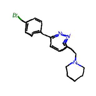 Brc1ccc(-c2ccc(CN3CCCCC3)nn2)cc1